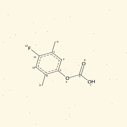 Cc1cc(OC(=O)O)c(C)cc1F